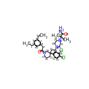 CCc1cc(CC)cc(CC(=O)N2CCCC(CCN3CCN(C(C)(C)C(N)=O)CC3)(c3ccc(Cl)c(Cl)c3)C2)c1